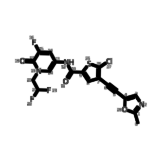 Cc1ncc(C#Cc2cc(C(=O)Nc3cc(F)c(=O)n(CC(F)F)c3)sc2Cl)o1